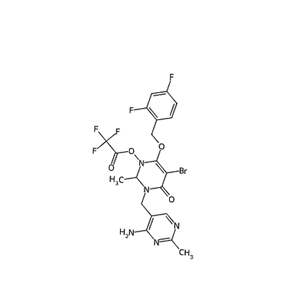 Cc1ncc(CN2C(=O)C(Br)=C(OCc3ccc(F)cc3F)N(OC(=O)C(F)(F)F)C2C)c(N)n1